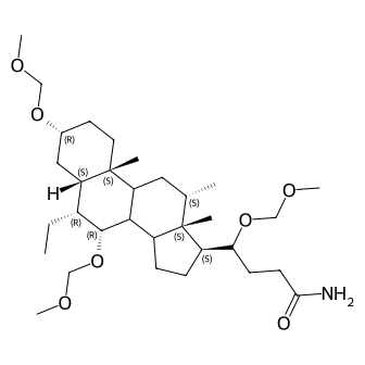 CC[C@H]1[C@@H](OCOC)C2C3CC[C@H](C(CCC(N)=O)OCOC)[C@@]3(C)[C@@H](C)CC2[C@@]2(C)CC[C@@H](OCOC)C[C@@H]12